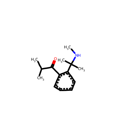 CNC(C)(C)c1ccccc1C(=O)C(C)C